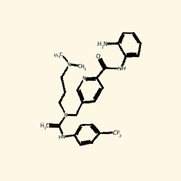 C=C(Nc1ccc(C(F)(F)F)cc1)N(CCCN(C)C)Cc1ccc(C(=O)Nc2ccccc2N)nc1